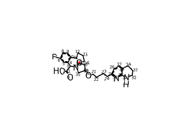 O=C(O)C(c1cc(F)ccc1C1CCCO1)N1CC[C@@H](OCCCCc2ccc3c(n2)NCCC3)C1